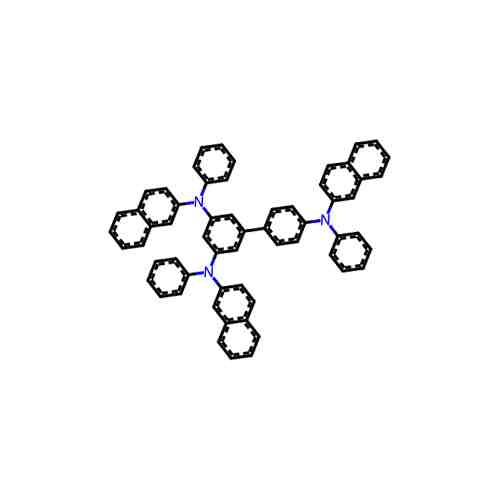 c1ccc(N(c2ccc(-c3cc(N(c4ccccc4)c4ccc5ccccc5c4)cc(N(c4ccccc4)c4ccc5ccccc5c4)c3)cc2)c2ccc3ccccc3c2)cc1